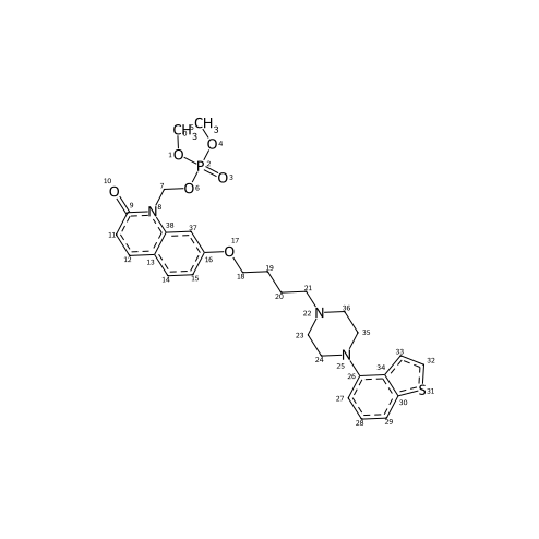 COP(=O)(OC)OCn1c(=O)ccc2ccc(OCCCCN3CCN(c4cccc5sccc45)CC3)cc21